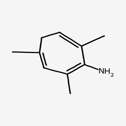 CC1=CC(C)=C(N)C(C)=CC1